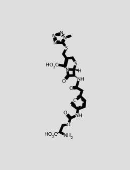 Cn1nnnc1SCC1=C(C(=O)O)N2C(=O)[C@@H](NC(=O)Cc3ccc(NC(=O)OC[C@H](N)C(=O)O)cc3)[C@H]2SC1